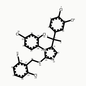 CC(C)(c1ccc(Cl)c(Cl)c1)c1cnc(SCc2c(F)cccc2Cl)n1-c1ccc(Cl)cc1Cl